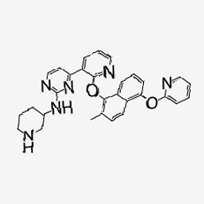 Cc1ccc2c(Oc3ccccn3)cccc2c1Oc1ncccc1-c1ccnc(NC2CCCNC2)n1